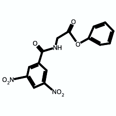 O=C(CNC(=O)c1cc([N+](=O)[O-])cc([N+](=O)[O-])c1)Oc1ccccc1